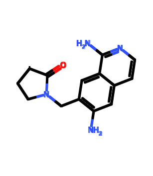 Nc1cc2ccnc(N)c2cc1CN1CC[CH]C1=O